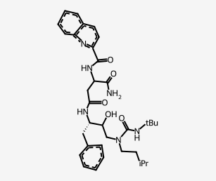 CC(C)CCN(CC(O)[C@H](Cc1ccccc1)NC(=O)CC(NC(=O)c1ccc2ccccc2n1)C(N)=O)C(=O)NC(C)(C)C